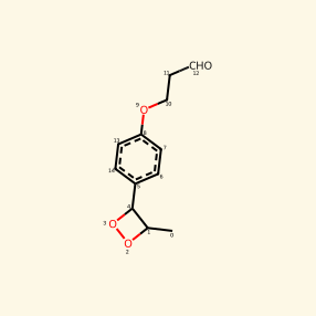 CC1OOC1c1ccc(OCCC=O)cc1